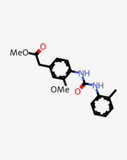 COC(=O)Cc1ccc(NC(=O)Nc2ccccc2C)c(OC)c1